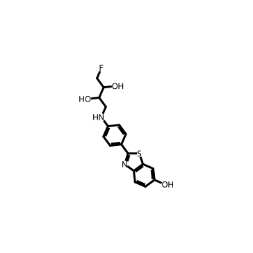 Oc1ccc2nc(-c3ccc(NCC(O)C(O)CF)cc3)sc2c1